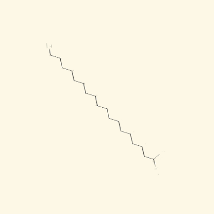 BrCCCCCCCCCCCCCCCCCC(Br)Br